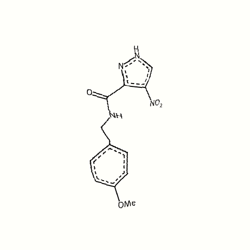 COc1ccc(CNC(=O)c2n[nH]cc2[N+](=O)[O-])cc1